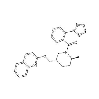 C[C@H]1CC[C@H](COc2ccc3ccccc3n2)CN1C(=O)c1ccccc1-n1nccn1